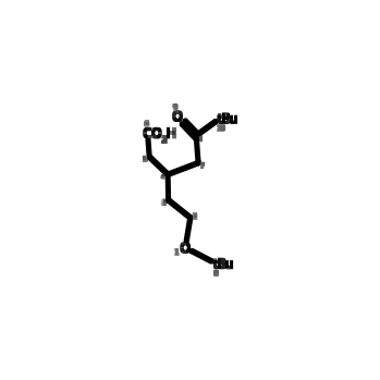 CC(C)(C)OCCC(CC(=O)O)CC(=O)C(C)(C)C